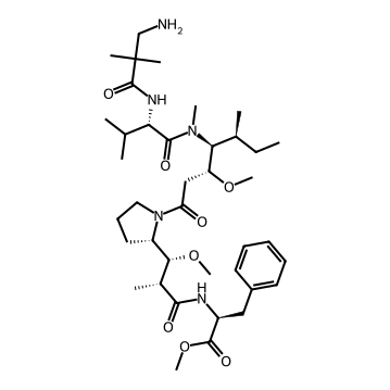 CC[C@H](C)[C@@H]([C@@H](CC(=O)N1CCC[C@H]1[C@H](OC)[C@@H](C)C(=O)N[C@@H](Cc1ccccc1)C(=O)OC)OC)N(C)C(=O)[C@@H](NC(=O)C(C)(C)CN)C(C)C